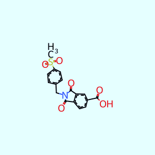 CS(=O)(=O)c1ccc(CN2C(=O)c3ccc(C(=O)O)cc3C2=O)cc1